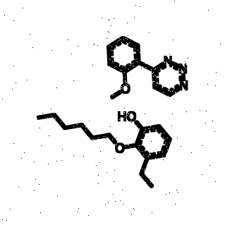 CCCCCCOc1c(O)cccc1CC.COc1ccccc1-c1ccnnn1